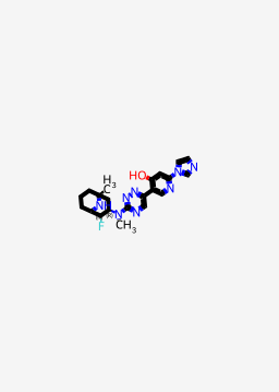 CN(c1ncc(-c2cnc(-n3ccnc3)cc2O)nn1)[C@@H]1C[C@@]2(C)CCCC(N2)[C@H]1F